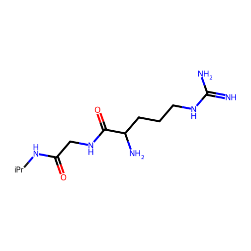 CC(C)NC(=O)CNC(=O)C(N)CCCNC(=N)N